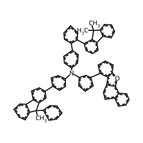 CC1(C)c2ccccc2-c2cccc(-c3ccccc3-c3ccc(N(c4ccc(-c5ccc6c(c5)C(C)(c5ccccc5)c5ccccc5-6)cc4)c4cccc(-c5cccc6oc7c8ccccc8ccc7c56)c4)cc3)c21